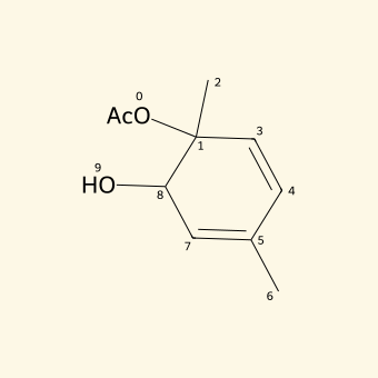 CC(=O)OC1(C)C=CC(C)=CC1O